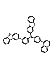 c1cc(-c2ccc3sc4ccccc4c3c2)cc(N(c2ccc(-c3cccc4ccccc34)cc2)c2ccc3c(c2)oc2ccccc23)c1